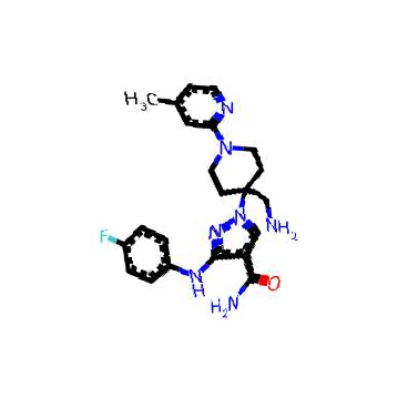 Cc1ccnc(N2CCC(CN)(n3cc(C(N)=O)c(Nc4ccc(F)cc4)n3)CC2)c1